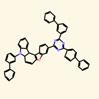 C1=CC2C(c3ccccc3N2c2cccc(-c3ccccc3)c2)c2c1oc1cc(-c3nc(-c4ccc(-c5ccccc5)cc4)nc(-c4cccc(-c5ccccc5)c4)n3)ccc21